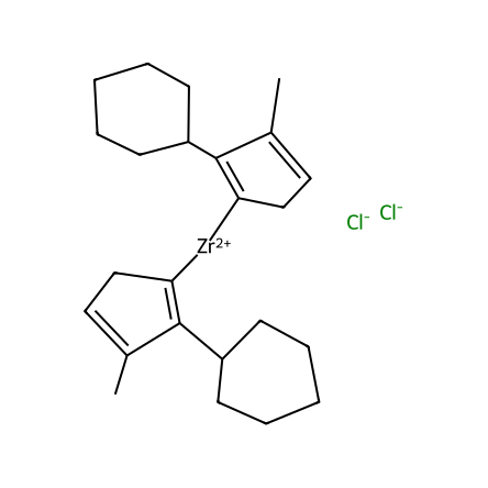 CC1=CC[C]([Zr+2][C]2=C(C3CCCCC3)C(C)=CC2)=C1C1CCCCC1.[Cl-].[Cl-]